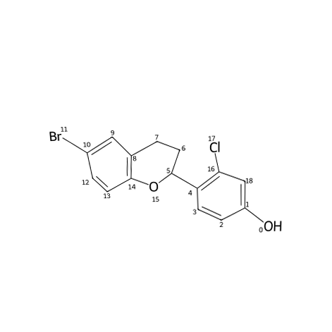 Oc1ccc(C2CCc3cc(Br)ccc3O2)c(Cl)c1